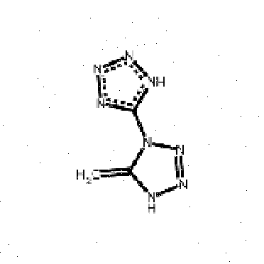 C=C1NN=NN1c1nnn[nH]1